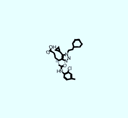 Cc1ccc(NC(=O)C[C@H](CCC(=O)O)c2nnn(CCC3CCCCC3)c2C2CC2)c(Cl)c1